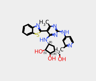 Cc1cc(Nc2nc(C)c(-c3nc4ccccc4s3)c(N[C@@H]3C[C@H](CO)[C@@H](O)[C@H]3O)n2)ccn1